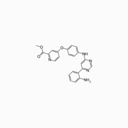 COC(=O)c1cc(Oc2ccc(Nc3cc(-c4ccccc4N)ncn3)cc2)ccn1